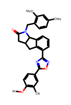 COc1ccc(CN2C(=O)CC3Cc4c(-c5noc(-c6ccc(OC(C)C)c(C#N)c6)n5)cccc4C32)c(OC)c1